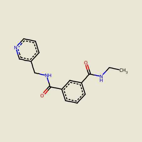 CCNC(=O)c1cccc(C(=O)NCc2cccnc2)c1